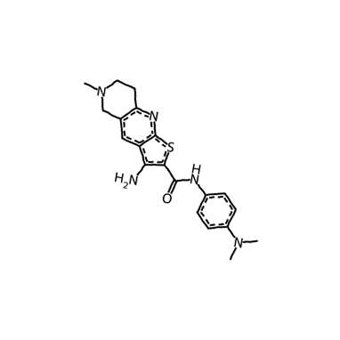 CN1CCc2nc3sc(C(=O)Nc4ccc(N(C)C)cc4)c(N)c3cc2C1